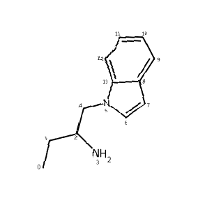 CCC(N)Cn1ccc2ccccc21